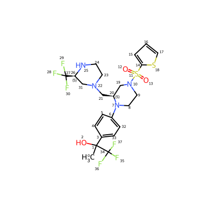 CC(O)(c1ccc(N2CCN(S(=O)(=O)c3cccs3)C[C@@H]2CN2CCN[C@H](C(F)(F)F)C2)cc1)C(F)(F)F